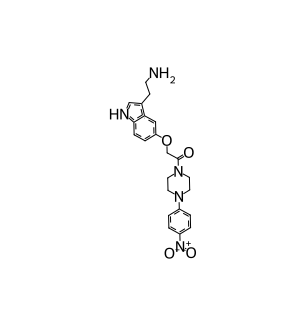 NCCc1c[nH]c2ccc(OCC(=O)N3CCN(c4ccc([N+](=O)[O-])cc4)CC3)cc12